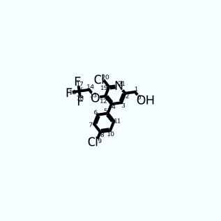 OCc1cc(-c2ccc(Cl)cc2)c(OCC(F)(F)F)c(Cl)n1